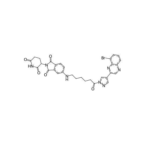 O=C1CCC(N2C(=O)c3ccc(NCCCCCC(=O)n4cc(-c5cnc6cccc(Br)c6n5)cn4)cc3C2=O)C(=O)N1